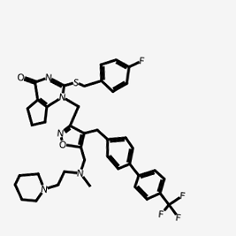 CN(CCN1CCCCC1)Cc1onc(Cn2c(SCc3ccc(F)cc3)nc(=O)c3c2CCC3)c1Cc1ccc(-c2ccc(C(F)(F)F)cc2)cc1